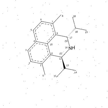 Cc1ccc2ccc(C)c3c2c1[C@H](C(C)C)N[C@H]3C(C)C